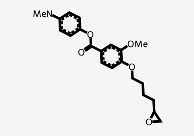 CNc1ccc(OC(=O)c2ccc(OCCCCC3CO3)c(OC)c2)cc1